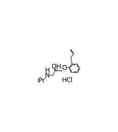 C=CCc1ccccc1OC[C@@H](O)CNC(C)C.Cl